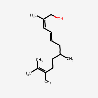 CC(=CC=CCC(C)CCC(C)=C(C)C)CO